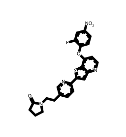 O=C1CCCN1CCc1ccc(-c2cc3nccc(Oc4ccc([N+](=O)[O-])cc4F)c3s2)nc1